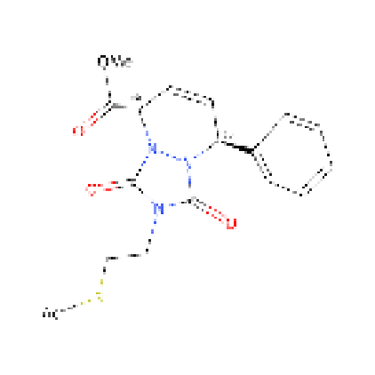 COC(=O)[C@@H]1C=C[C@@H](c2ccccc2)n2c(=O)n(CCSC(C)=O)c(=O)n21